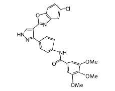 COc1cc(C(=O)Nc2ccc(-c3n[nH]cc3-c3nc4cc(Cl)ccc4o3)cc2)cc(OC)c1OC